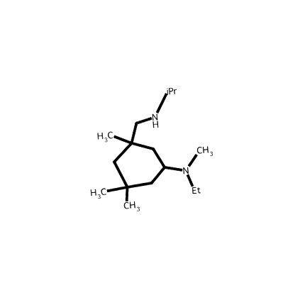 CCN(C)C1CC(C)(C)CC(C)(CNC(C)C)C1